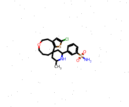 CC1CC2(CCCOCCc3cc(Cl)sc32)CC(c2cccc(S(N)(=O)=O)c2)N1